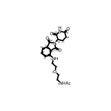 CC(=O)NCCOCCNc1cccc2c1C(=O)N(C1CCC(=O)NC1=O)C2=O